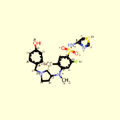 Cc1cc(S(=O)(=O)Nc2cscn2)c(F)cc1N(C)C1CCN(Cc2ccc(O)cc2)C1